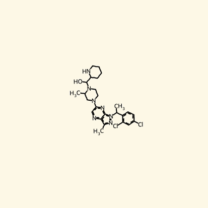 Cc1nn(C(C)c2ccc(Cl)cc2Cl)c2nc(N3CCN(C(O)C4CCCCN4)C(C)C3)cnc12